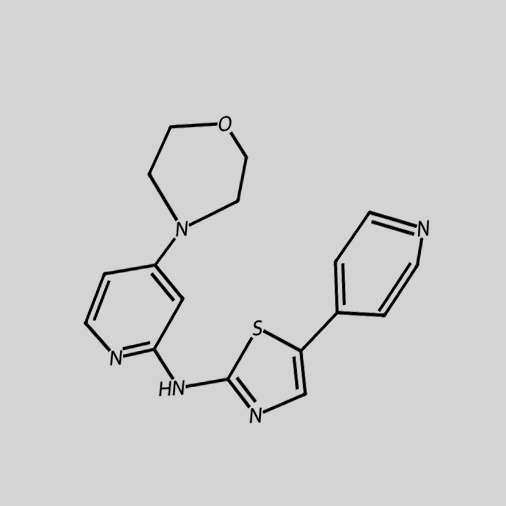 c1cc(-c2cnc(Nc3cc(N4CCOCC4)ccn3)s2)ccn1